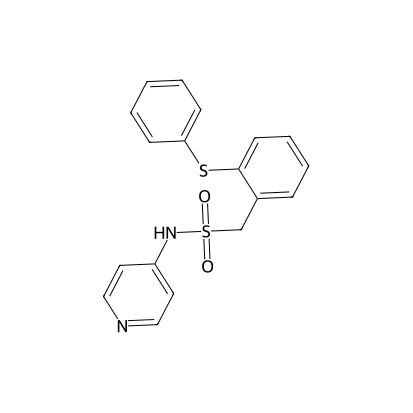 O=S(=O)(Cc1ccccc1Sc1ccccc1)Nc1ccncc1